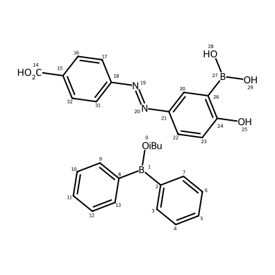 CC(C)COB(c1ccccc1)c1ccccc1.O=C(O)c1ccc(N=Nc2ccc(O)c(B(O)O)c2)cc1